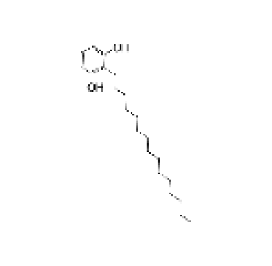 CCCCCCCCCCCCCCCc1c(O)cccc1O